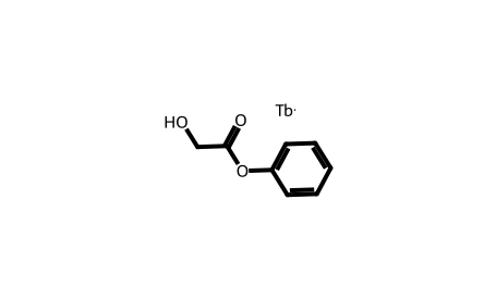 O=C(CO)Oc1ccccc1.[Tb]